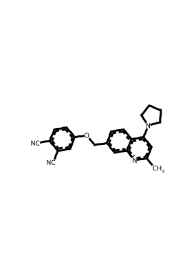 Cc1cc(N2CCCC2)c2ccc(COc3ccc(C#N)c(C#N)c3)cc2n1